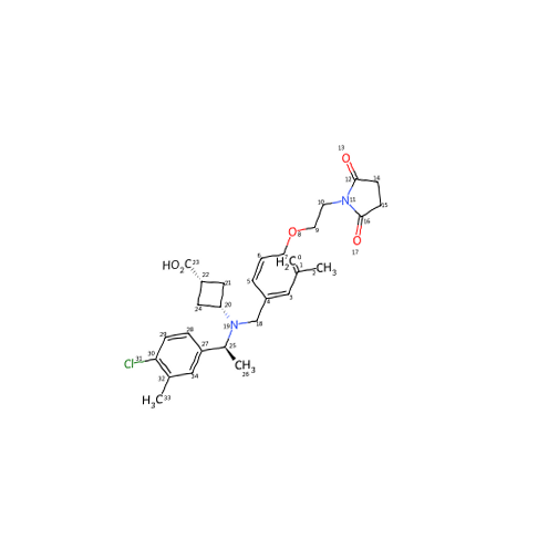 C=C(C)/C=C(\C=C/COCCN1C(=O)CCC1=O)CN([C@H]1C[C@@H](C(=O)O)C1)[C@@H](C)c1ccc(Cl)c(C)c1